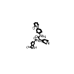 O=C(NC(C(=O)Nc1ccc(-n2ccccc2=O)cc1)c1ccncc1)c1ccc2c(Cl)c[nH]c2c1